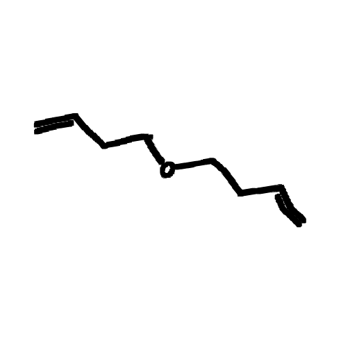 C=CC[CH]OCCC=C